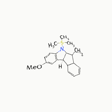 COc1ccc2c(c1)[C@@H]1C3C=CC=CC3C(C)C1N2S(C)(C)C